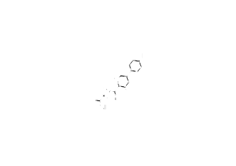 CC(C)(NC(=O)c1ncc(-c2ccc(F)cc2)cc1O)C(N)=O